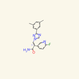 Cc1cc(C)cc(-c2ncn(/C=C(/C(N)=O)c3ccc(F)nc3)n2)c1